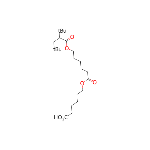 CC(C)(C)CC(C(=O)OCCCCCC(=O)OCCCCCC(=O)O)C(C)(C)C